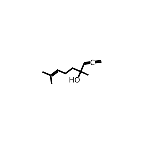 C=C=CC(C)(O)CCC=C(C)C